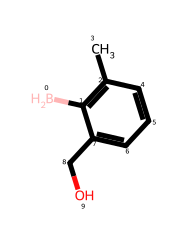 Bc1c(C)cccc1CO